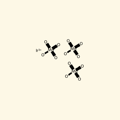 [Ir+3].[O]=[Mn](=[O])(=[O])[O-].[O]=[Mn](=[O])(=[O])[O-].[O]=[Mn](=[O])(=[O])[O-]